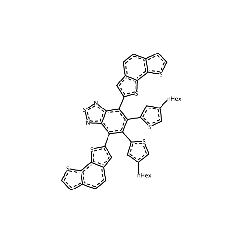 CCCCCCc1csc(-c2c(-c3cc(CCCCCC)cs3)c(-c3cc4ccc5ccsc5c4s3)c3nsnc3c2-c2cc3ccc4ccsc4c3s2)c1